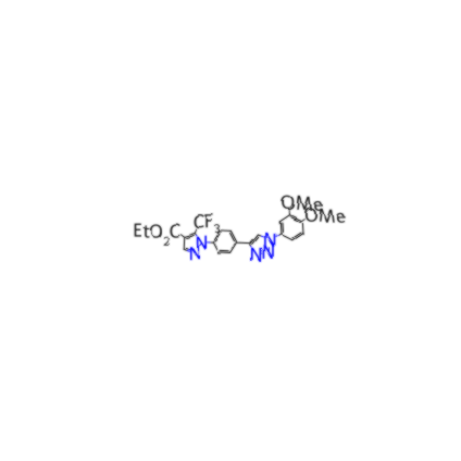 CCOC(=O)c1cnn(-c2ccc(-c3cn(-c4ccc(OC)c(OC)c4)nn3)cc2)c1C(F)(F)F